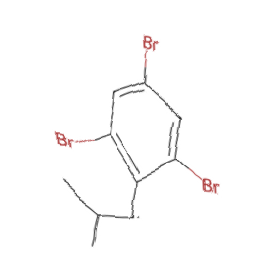 CC(C)[CH]c1c(Br)cc(Br)cc1Br